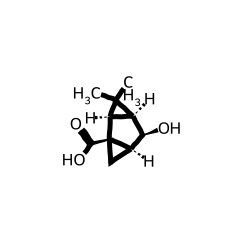 CC1(C)[C@H]2[C@@H](O)[C@H]3C[C@]3(C(=O)O)[C@H]21